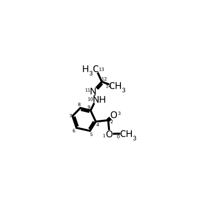 COC(=O)c1ccccc1NN=C(C)C